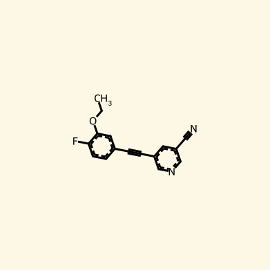 CCOc1cc(C#Cc2cncc(C#N)c2)ccc1F